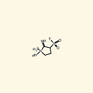 CCC[N+]1(C)CCC(S(=O)(=O)F)C1=N